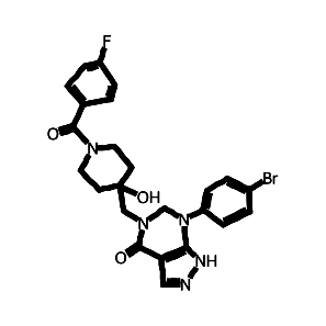 O=C(c1ccc(F)cc1)N1CCC(O)(CN2CN(c3ccc(Br)cc3)c3[nH]ncc3C2=O)CC1